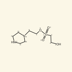 O=S(=O)(CCO)OCCN1CCNCC1